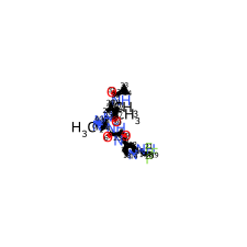 Cn1cc(NC(=O)c2coc(-c3ccnc(NCC(F)(F)F)c3)n2)c(N2CC(CNC(=O)C3CC3)C(C)(C)C2=O)n1